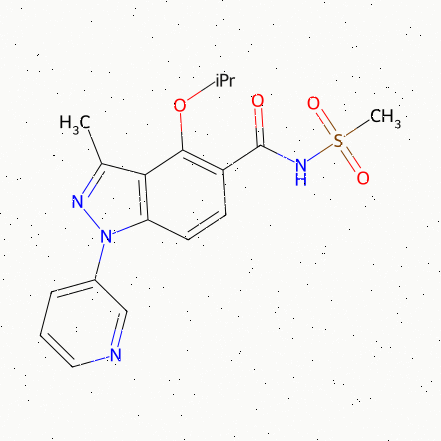 Cc1nn(-c2cccnc2)c2ccc(C(=O)NS(C)(=O)=O)c(OC(C)C)c12